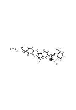 CCOC(=O)C(C)Oc1ccc(Cc2c(C)n(C)c3cc(C(=O)N[C@@H](C)c4cccc(C(C)C)c4)ccc23)cc1